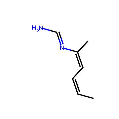 C\C=C/C=C(C)\N=C\N